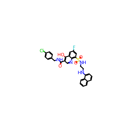 O=C(NCc1ccc(Cl)cc1)c1cnc2c(S(=O)(=O)NCCNc3cccc4ccccc34)cc(F)cc2c1O